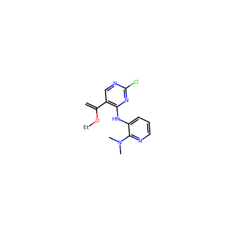 C=C(OCC)c1cnc(Cl)nc1Nc1cccnc1N(C)C